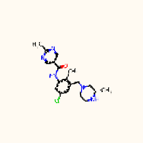 Cc1ncc(C(=O)Nc2cc(Cl)cc(CN3CCN[C@@H](C)C3)c2C)cn1